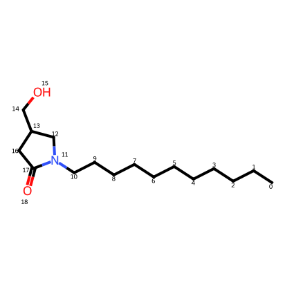 CCCCCCCCCCCN1CC(CO)CC1=O